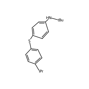 CC(C)c1ccc(Sc2ccc(NC(C)(C)C)cc2)cc1